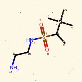 CC([Si](C)(C)C)S(=O)(=O)NCCN